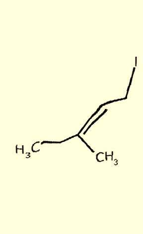 CC(C)=CCI